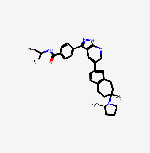 CC(C)NC(=O)c1ccc(-c2n[nH]c3ncc(-c4ccc5c(c4)CCC(C)(N4CCC[C@H]4C)CC5)cc23)cc1